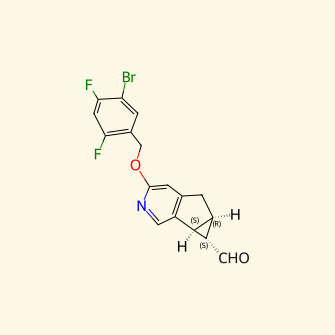 O=C[C@H]1[C@@H]2Cc3cc(OCc4cc(Br)c(F)cc4F)ncc3[C@H]12